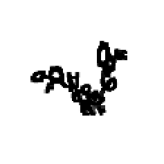 CCO[C@@H]1[C@@H](F)CN(C(=O)Cn2cc(C(C)=O)c3ccccc32)[C@H]1OC(=O)NCc1cccc(Cl)c1F